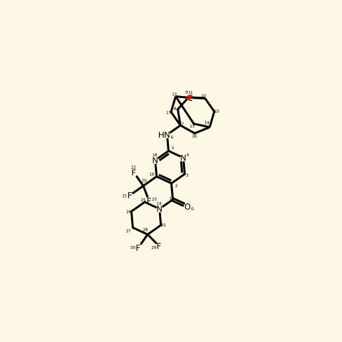 O=C(c1cnc(NC23CCC4CC(CC(C4)C2)C3)nc1C(F)(F)F)N1CCCC(F)(F)C1